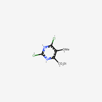 CCOC(=O)c1nc(Cl)nc(Cl)c1OC